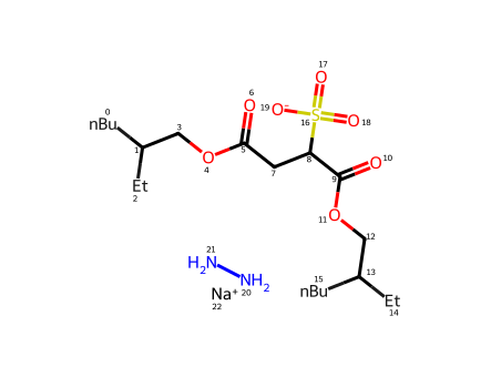 CCCCC(CC)COC(=O)CC(C(=O)OCC(CC)CCCC)S(=O)(=O)[O-].NN.[Na+]